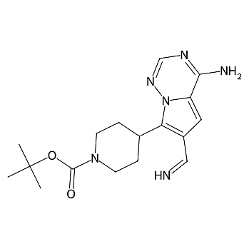 CC(C)(C)OC(=O)N1CCC(c2c(C=N)cc3c(N)ncnn23)CC1